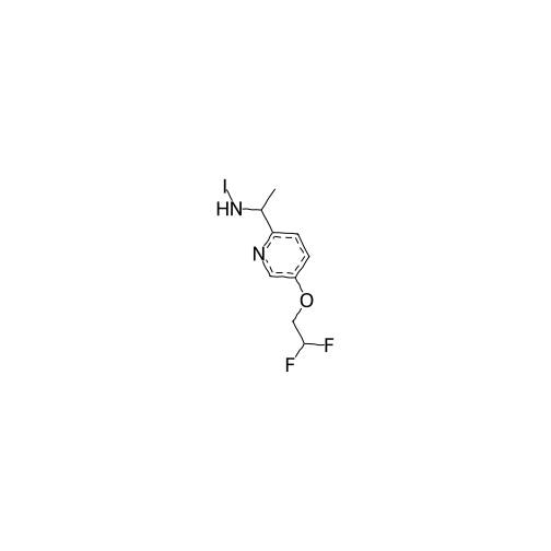 CC(NI)c1ccc(OCC(F)F)cn1